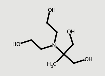 CC(CO)(CO)N(CCO)CCO